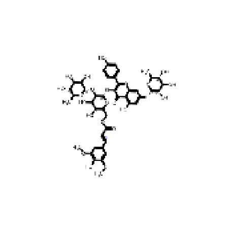 COc1cc(/C=C/C(=O)OCC2O[C@@H](Oc3c(-c4ccc(O)cc4)oc4cc(O[C@@H]5OC(C)[C@H](O)C(O)[C@@H]5O)cc(O)c4c3=O)C(O[C@@H]3OC(C)[C@H](O)C(O)C3O)C(O)[C@@H]2O)cc(OC)c1O